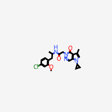 COc1cc(Cl)ccc1CC(C)NC(=O)Cn1ncc2c(c(C)cn2C2CC2)c1=O